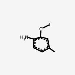 Cc1ccc(N)c(OI)c1